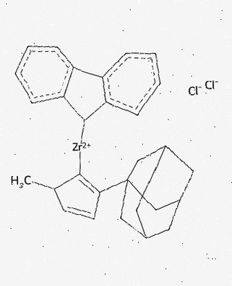 CC1C=CC(C23CC4CC(CC(C4)C2)C3)=[C]1[Zr+2][CH]1c2ccccc2-c2ccccc21.[Cl-].[Cl-]